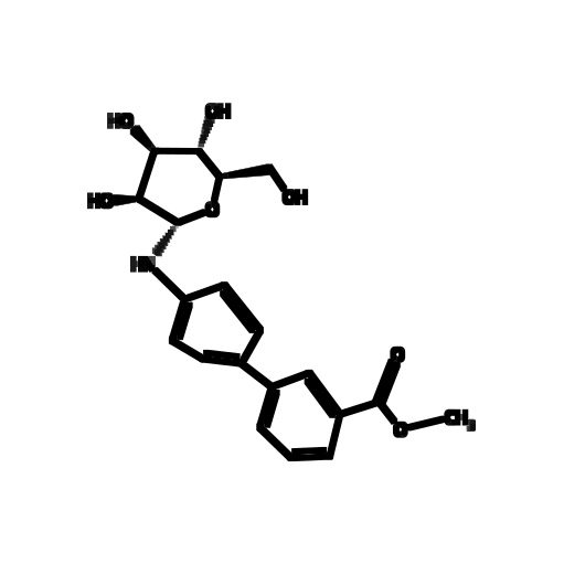 COC(=O)c1cccc(-c2ccc(N[C@H]3O[C@H](CO)[C@@H](O)[C@H](O)[C@@H]3O)cc2)c1